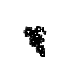 CCOC(=O)[C@@](C)(Cc1ccccc1)c1ccnc2c(-c3ccc(Cl)cc3)cnn12